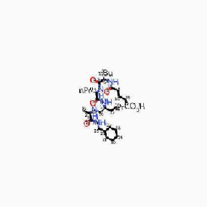 CCC[C@H](NC(=O)C(NC(=O)CCCC(=O)O)[C@@H](C)CC)C(=O)N[C@H](CNC(C)C(=O)NCC1CCCCC1)CC(C)C